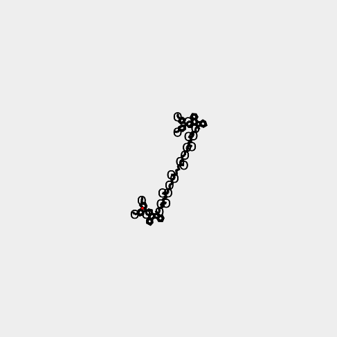 COc1ccc(C2(c3ccc(OC)cc3)C=Cc3c4c(c5ccccc5c3O2)-c2ccccc2C4(C)OCCOC(=O)CCC(=O)OCCOCCOC(=O)CCCCC(=O)OCCOCCOC(=O)CCC(=O)OCCOC2(C)c3ccccc3-c3c2c2c(c4ccccc34)OC(c3ccc(OC)cc3)(c3ccc(OC)cc3)C=C2)cc1